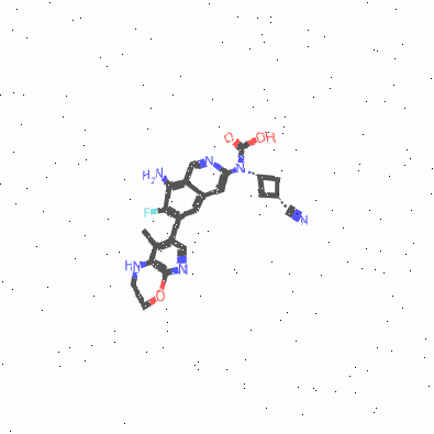 Cc1c(-c2cc3cc(N(C(=O)O)[C@H]4C[C@@H](C#N)C4)ncc3c(N)c2F)cnc2c1NCCO2